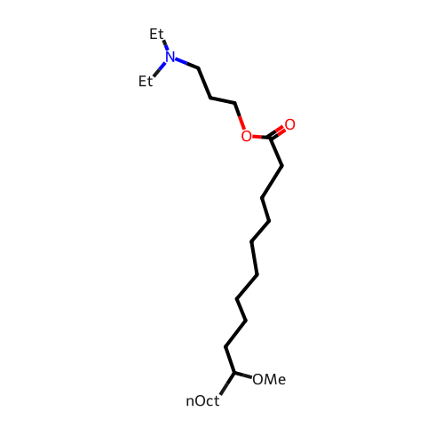 CCCCCCCCC(CCCCCCCCC(=O)OCCCN(CC)CC)OC